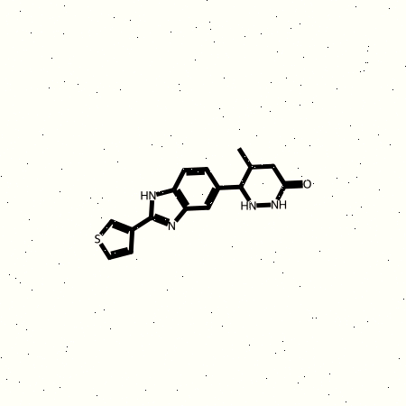 CC1CC(=O)NNC1c1ccc2[nH]c(-c3ccsc3)nc2c1